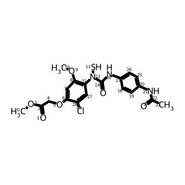 COC(=O)COc1cc(OC)c(N(S)C(=O)Nc2ccc(NC(C)=O)cc2)cc1Cl